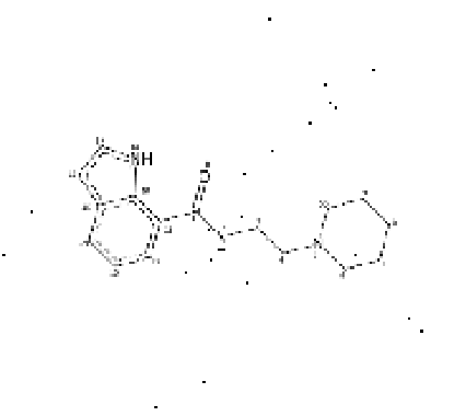 O=C(NCCN1CCCCC1)c1cccc2[c]c[nH]c12